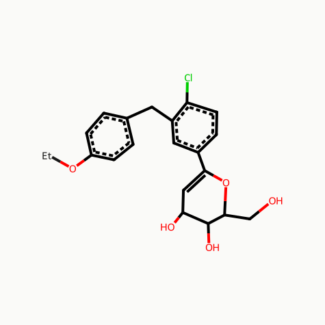 CCOc1ccc(Cc2cc(C3=CC(O)C(O)C(CO)O3)ccc2Cl)cc1